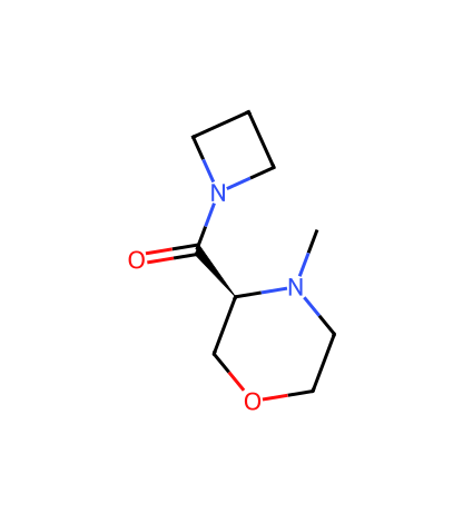 CN1CCOC[C@H]1C(=O)N1CCC1